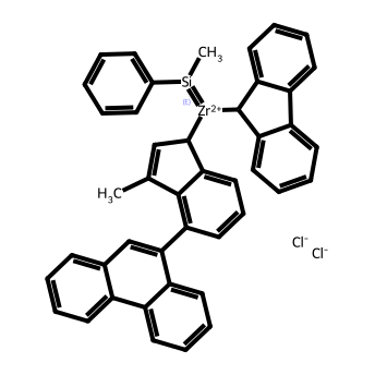 CC1=C[CH](/[Zr+2]([CH]2c3ccccc3-c3ccccc32)=[Si](/C)c2ccccc2)c2cccc(-c3cc4ccccc4c4ccccc34)c21.[Cl-].[Cl-]